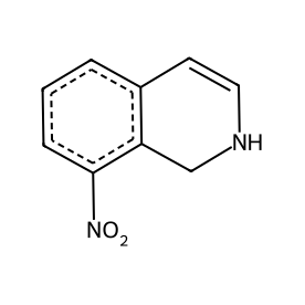 O=[N+]([O-])c1cccc2c1CNC=C2